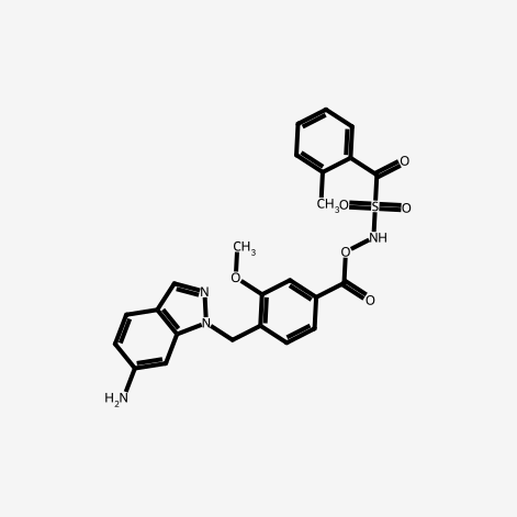 COc1cc(C(=O)ONS(=O)(=O)C(=O)c2ccccc2C)ccc1Cn1ncc2ccc(N)cc21